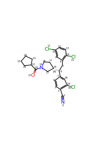 N#Cc1ccc(C(Cc2cc(Cl)ccc2Cl)[C@H]2CCN(C(=O)C3CCCC3)C2)cc1Cl